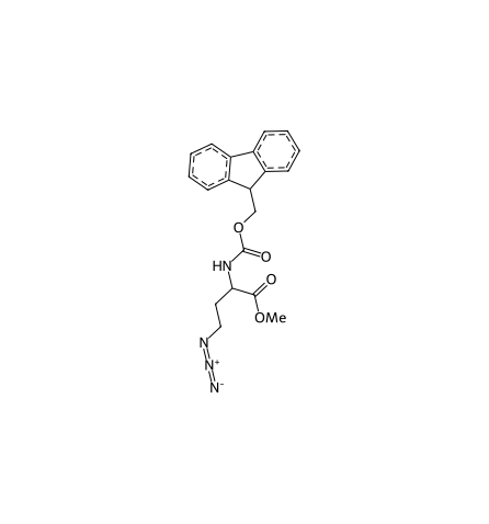 COC(=O)C(CCN=[N+]=[N-])NC(=O)OCC1c2ccccc2-c2ccccc21